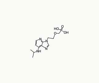 CC(C)Nc1ccnc2c1ncn2CCOCP(=O)(O)O